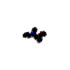 CC1(C)c2ccccc2-c2ccc(-c3cc(-c4ccc(-c5cccnc5-c5ccc6oc7ccccc7c6c5)cc4)nc(-c4ccccc4)n3)cc21